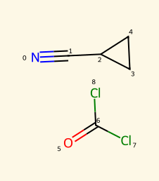 N#CC1CC1.O=C(Cl)Cl